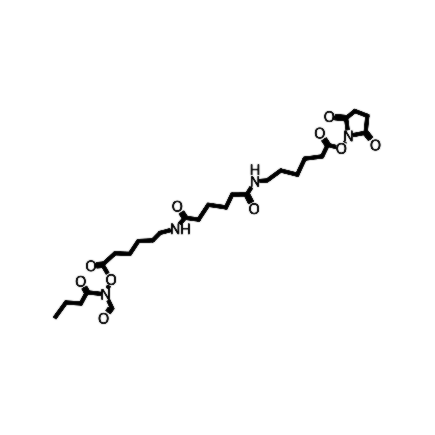 CCCC(=O)N(C=O)OC(=O)CCCCCNC(=O)CCCCC(=O)NCCCCCC(=O)ON1C(=O)CCC1=O